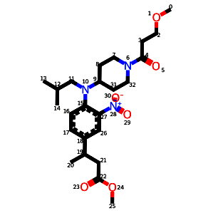 COCCC(=O)N1CCC(N(CC(C)C)c2ccc(C(C)CC(=O)OC)cc2[N+](=O)[O-])CC1